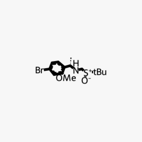 COc1cc(Br)ccc1[C@H](C)NC[S+]([O-])C(C)(C)C